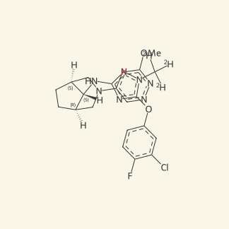 [2H]C([2H])([2H])n1nc(N[C@@H]2[C@@H]3CC[C@H]2CN(c2cnnc(OC)c2)C3)nc1Oc1ccc(F)c(Cl)c1